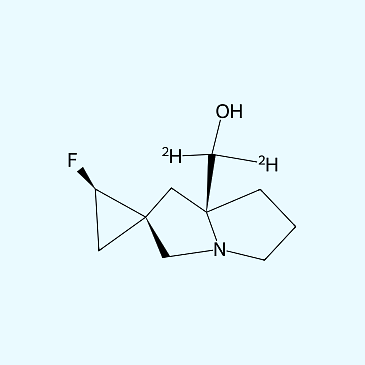 [2H]C([2H])(O)[C@@]12CCCN1C[C@]1(C[C@H]1F)C2